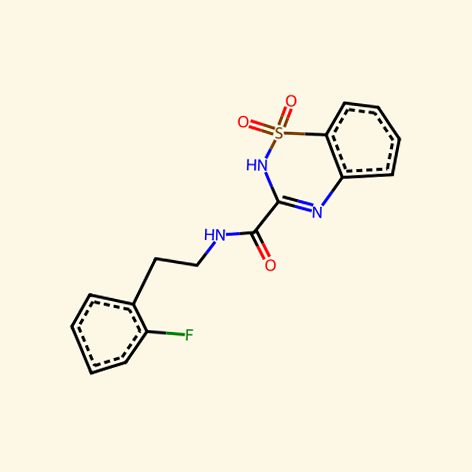 O=C(NCCc1ccccc1F)C1=Nc2ccccc2S(=O)(=O)N1